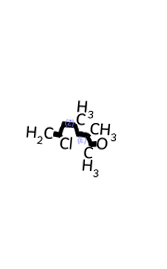 C=C(Cl)/C=C(C)\C=C(/C)C(C)=O